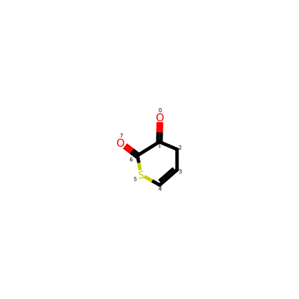 O=C1CC=CSC1=O